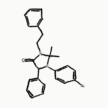 CC1(C)N(CCc2ccccc2)C(=O)C(c2ccccc2)N1c1ccc(Br)cc1